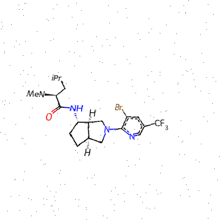 CN[C@@H](CC(C)C)C(=O)N[C@H]1CC[C@@H]2CN(c3ncc(C(F)(F)F)cc3Br)C[C@@H]21